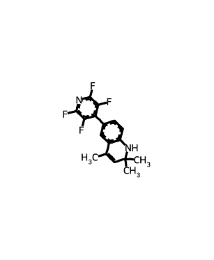 CC1=CC(C)(C)Nc2ccc(-c3c(F)c(F)nc(F)c3F)cc21